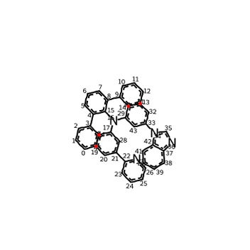 c1ccc(-c2cccc(-c3ccccc3)c2N(c2cccc(-c3ccccn3)c2)c2cccc(-n3cnc4ccccc43)c2)cc1